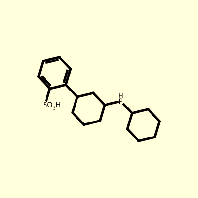 O=S(=O)(O)c1ccccc1C1CCCC(PC2CCCCC2)C1